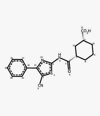 N#Cc1sc(NC(=O)[C@H]2CCC[C@@H](C(=O)O)C2)nc1-c1ccccc1